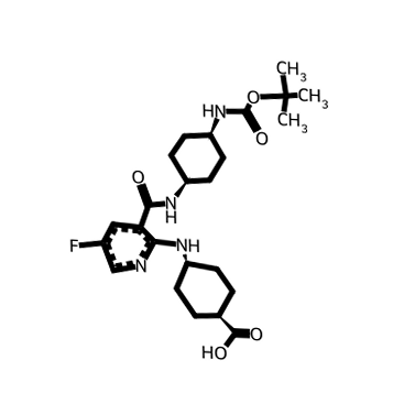 CC(C)(C)OC(=O)N[C@H]1CC[C@@H](NC(=O)c2cc(F)cnc2N[C@H]2CC[C@H](C(=O)O)CC2)CC1